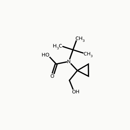 CC(C)(C)N(C(=O)O)C1(CO)CC1